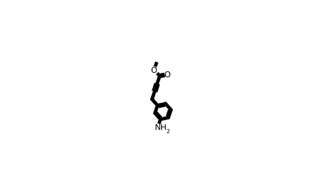 COC(=O)C#CCc1cccc(N)c1